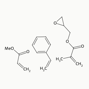 C=C(C)C(=O)OCC1CO1.C=CC(=O)OC.C=Cc1ccccc1